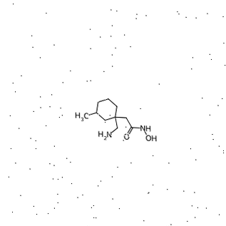 CC1CCCC(CN)(CC(=O)NO)C1